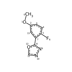 COc1ccc(F)c(-c2nnco2)c1